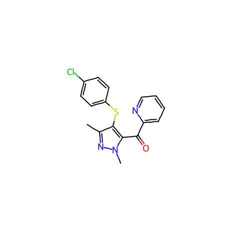 Cc1nn(C)c(C(=O)c2ccccn2)c1Sc1ccc(Cl)cc1